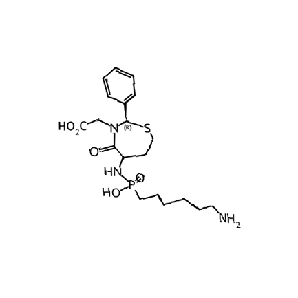 NCCCCCCP(=O)(O)NC1CCS[C@H](c2ccccc2)N(CC(=O)O)C1=O